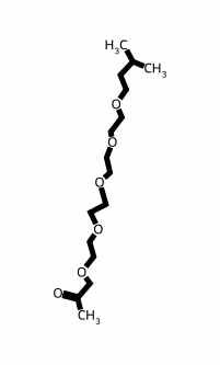 CC(=O)COCCOCCOCCOCCOCCC(C)C